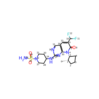 C[C@H]1CCC[C@H]1n1c(=O)c(C(F)F)cc2cnc(NC3CCN(S(N)(=O)=O)CC3)nc21